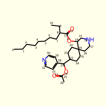 CCCCCCCCC(CC)C(=O)OC1CNCCC12CCC(C(OC(C)=O)c1ccncc1)CC2